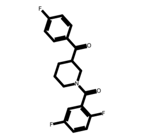 O=C(c1ccc(F)cc1)C1CCCN(C(=O)c2cc(F)ccc2F)C1